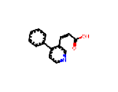 O=C(O)/C=C\c1cnccc1-c1ccccc1